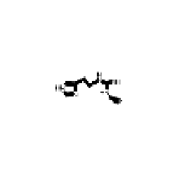 N#CNC(=N)NCCc1c[nH]cn1